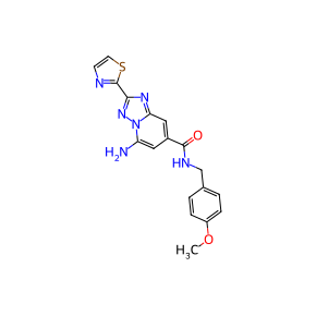 COc1ccc(CNC(=O)c2cc(N)n3nc(-c4nccs4)nc3c2)cc1